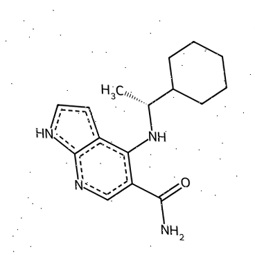 C[C@@H](Nc1c(C(N)=O)cnc2[nH]ccc12)C1CCCCC1